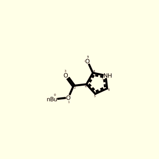 CCCCOC(=O)c1cc[nH]c1[O]